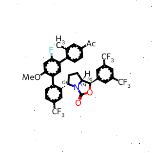 COc1cc(F)c(-c2ccc(C(C)=O)cc2C)cc1-c1ccc(C(F)(F)F)cc1[C@@H]1CC[C@H]2[C@@H](c3cc(C(F)(F)F)cc(C(F)(F)F)c3)OC(=O)N12